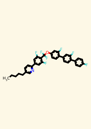 CCCCCc1ccc(-c2cc(F)c(C(F)(F)Oc3ccc(-c4ccc(-c5ccc(F)cc5)c(F)c4)c(F)c3)c(F)c2)nc1